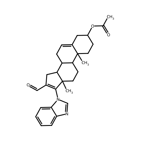 CC(=O)OC1CCC2(C)C(=CCC3C2CCC2(C)C(n4cnc5ccccc54)=C(C=O)CC32)C1